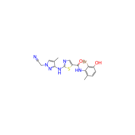 Cc1cn(CC#N)nc1Nc1ncc(C(=O)Nc2c(C)ccc(O)c2Br)s1